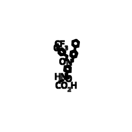 O=C(O)CCNC(=O)c1ccc(N(Cc2ccc(C3=CCCCC3)cc2)C(=O)Cc2ccc(OC(F)(F)F)cc2)cc1